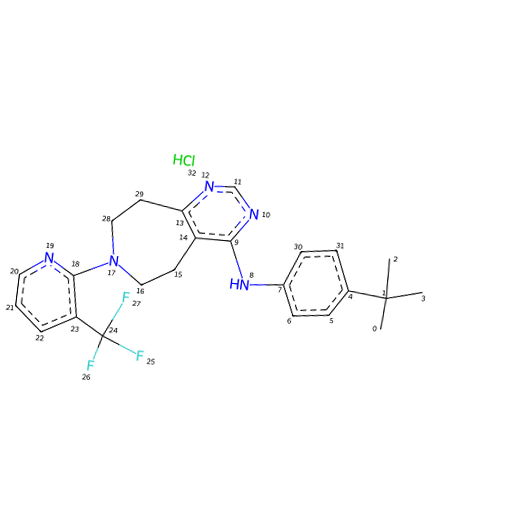 CC(C)(C)c1ccc(Nc2ncnc3c2CCN(c2ncccc2C(F)(F)F)CC3)cc1.Cl